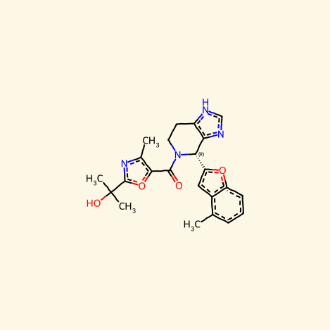 Cc1nc(C(C)(C)O)oc1C(=O)N1CCc2[nH]cnc2[C@@H]1c1cc2c(C)cccc2o1